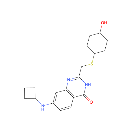 O=c1[nH]c(CSC2CCC(O)CC2)nc2cc(NC3CCC3)ccc12